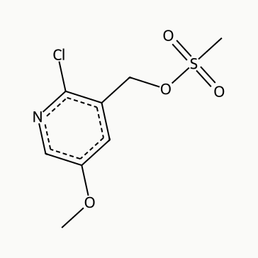 COc1cnc(Cl)c(COS(C)(=O)=O)c1